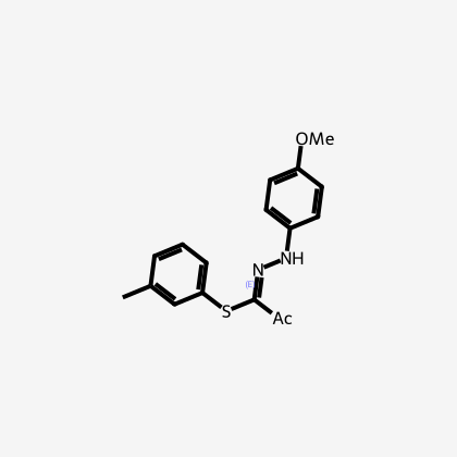 COc1ccc(N/N=C(/Sc2cccc(C)c2)C(C)=O)cc1